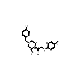 CC1CN(Cc2ccc(F)cc2)CCN1C(=O)COc1ccc(Cl)cc1